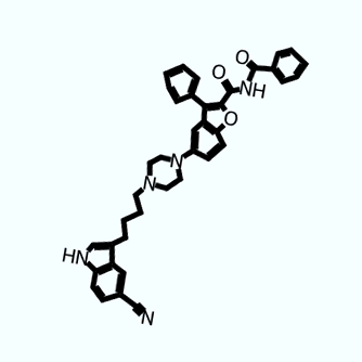 N#Cc1ccc2[nH]cc(CCCCN3CCN(c4ccc5oc(C(=O)NC(=O)c6ccccc6)c(-c6ccccc6)c5c4)CC3)c2c1